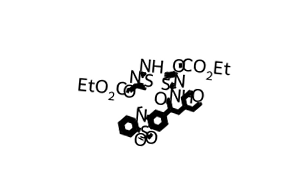 CCOC(=O)Oc1csc(N)n1.CCOC(=O)Oc1csc(NC(=O)C(CC2CCOCC2)c2ccc3c(c2)N(C)c2ccccc2S3(=O)=O)n1